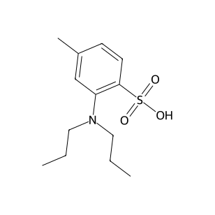 CCCN(CCC)c1cc(C)ccc1S(=O)(=O)O